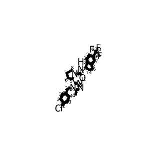 Cc1nnc([C@H]2CCCN2C(=O)N[C@H]2CCc3cc(C(F)(F)F)ccc32)n1Cc1ccc(Cl)cc1